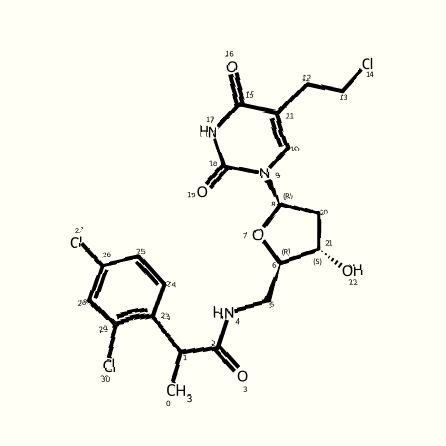 CC(C(=O)NC[C@H]1O[C@@H](n2cc(CCCl)c(=O)[nH]c2=O)C[C@@H]1O)c1ccc(Cl)cc1Cl